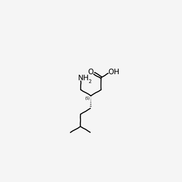 CC(C)CC[C@H](CN)CC(=O)O